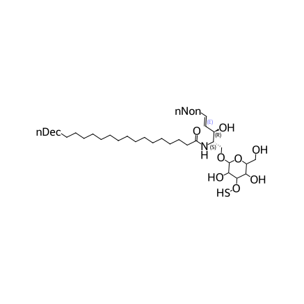 CCCCCCCCC/C=C/[C@@H](O)[C@H](COC1OC(CO)C(O)C(OS)C1O)NC(=O)CCCCCCCCCCCCCCCCCCCCCCCCC